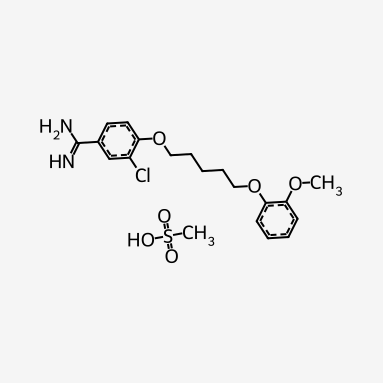 COc1ccccc1OCCCCCOc1ccc(C(=N)N)cc1Cl.CS(=O)(=O)O